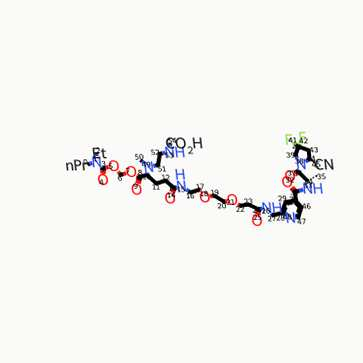 CCCN(CC)C(=O)OCOC(=O)C(CCC(=O)NCCOCCOCCC(=O)NCc1cc(C(=O)N[C@@H](C)C(=O)N2CC(F)(F)C[C@H]2C#N)ccn1)N(C)CCNC(=O)O